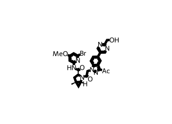 COc1cc(Br)nc(NC(=O)[C@@H]2C[C@@]3(C)C[C@H]3N2C(=O)Cn2nc(C(C)=O)c3cc(-c4cnc(CO)nc4)ccc32)c1